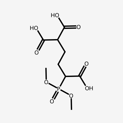 COP(=O)(OC)C(CCC(C(=O)O)C(=O)O)C(=O)O